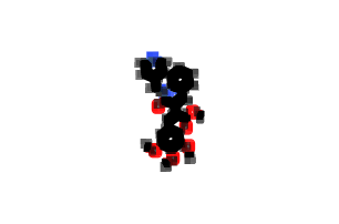 COC(=O)C(=Cc1cc(OC)c(OC)c(OC)c1)C(=Cc1ccccc1)C(=O)NCc1ccncc1